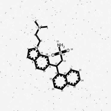 CN(C)CCn1ccc2ccc(C(CS(N)(=O)=O)c3cccc4ccccc34)cc21